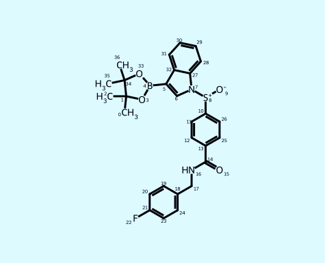 CC1(C)OB(c2cn([S+]([O-])c3ccc(C(=O)NCc4ccc(F)cc4)cc3)c3ccccc23)OC1(C)C